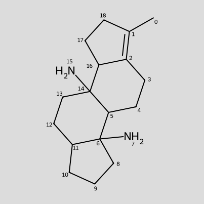 CC1=C2CCC3C4(N)CCCC4CCC3(N)C2CC1